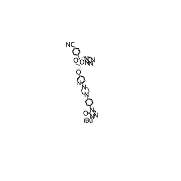 CCC(C)n1ncn(-c2ccc(N3CCN(c4ccc(OC[C@@H]5CO[C@@](Cn6cnnn6)(c6ccc(C#N)cc6)O5)cn4)CC3)cc2)c1=O